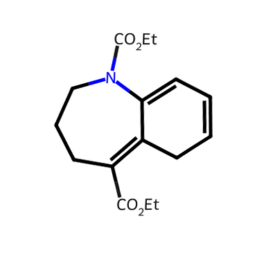 CCOC(=O)C1=C2CC=CC=C2N(C(=O)OCC)CCC1